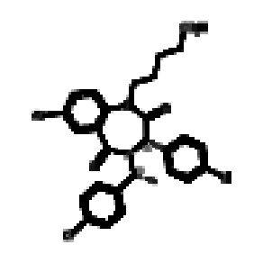 CC(=O)c1ccc2c(c1)C(=O)N([C@H](C)c1ccc(Cl)cc1)[C@@H](c1ccc(Cl)cc1)C(=O)N2CCCCC(=O)O